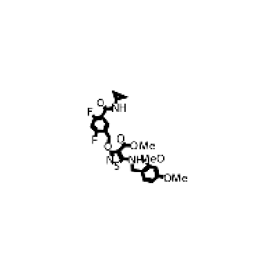 COC(=O)c1c(OCc2cc(C(=O)NC3CC3)c(F)cc2F)nsc1NCc1ccc(OC)cc1OC